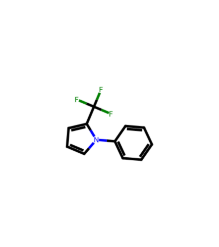 FC(F)(F)c1cccn1-c1ccccc1